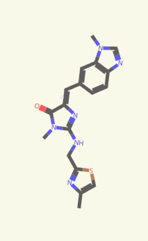 Cc1csc(CNC2=N/C(=C\c3ccc4ncn(C)c4c3)C(=O)N2C)n1